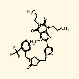 CCCn1c(=O)c2c(nc(-c3cnn(CC4CC(=O)N(Cc5ccccc5C(F)(F)F)C4)c3)n2C)n(CCC)c1=O